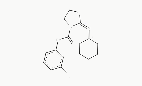 S=C(Nc1cccc(Cl)c1)N1CCS/C1=N/C1CCCCC1